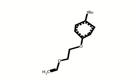 C=COCCOc1ccc(C(C)(C)C)cc1